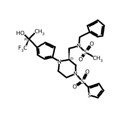 C[C@@](O)(c1ccc(N2CCN(S(=O)(=O)c3cccs3)C[C@@H]2CN(Cc2ccccc2)S(C)(=O)=O)cc1)C(F)(F)F